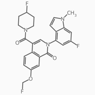 Cn1ccc2c(-n3cc(C(=O)N4CCC(F)CC4)c4ccc(OCF)cc4c3=O)cc(F)cc21